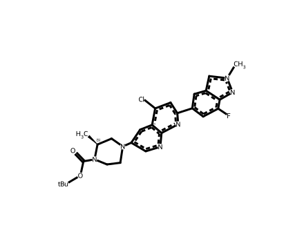 C[C@H]1CN(c2cnc3nc(-c4cc(F)c5nn(C)cc5c4)cc(Cl)c3c2)CCN1C(=O)OC(C)(C)C